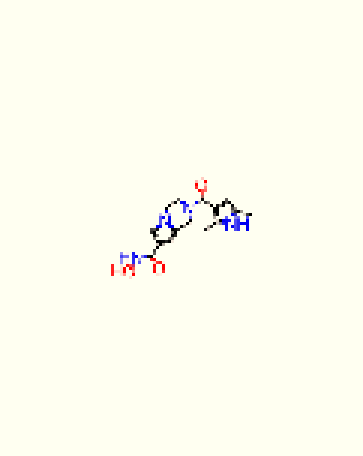 Cc1cc(C(=O)N2CCn3cc(C(=O)NO)cc3C2)c(C)[nH]1